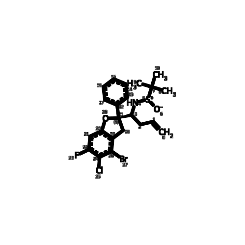 C=CCC(N[S+]([O-])C(C)(C)C)[C@@]1(c2ccccc2)Cc2c(cc(F)c(Cl)c2Br)O1